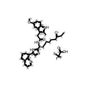 CCC(=O)CCCCC[C@H](NC(=O)Cc1c(C)[nH]c2ccc(OC)cc12)c1ncc(-c2cccc3cccnc23)[nH]1.O=C(O)C(F)(F)F